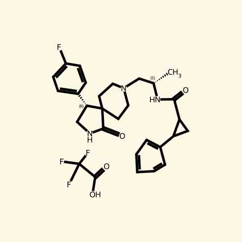 C[C@@H](CN1CCC2(CC1)C(=O)NC[C@@H]2c1ccc(F)cc1)NC(=O)C1CC1c1ccccc1.O=C(O)C(F)(F)F